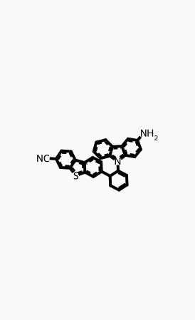 N#Cc1ccc2c(c1)sc1cc(C3CC=CC=C3n3c4ccccc4c4cc(N)ccc43)ccc12